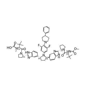 COC(=O)N[C@H](C(=O)N1CCC[C@H]1c1nc2cc([C@H]3CC[C@H](c4ccc5[nH]c([C@@H]6CCCN6C(=O)[C@@H](N(C)C(=O)O)C(C)(C)C)nc5c4)N3c3cc(F)c(N4CCC(c5ccccc5)CC4)c(F)c3)ccc2[nH]1)C(C)(C)C